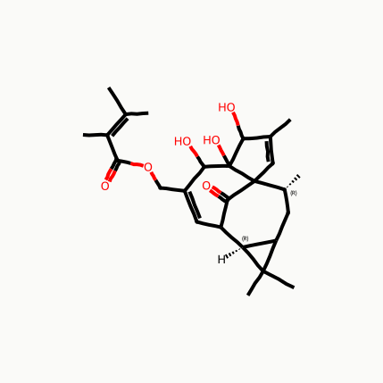 CC1=CC23C(=O)C(C=C(COC(=O)C(C)=C(C)C)C(O)C2(O)C1O)[C@H]1C(C[C@H]3C)C1(C)C